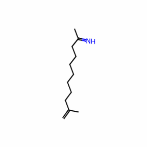 C=C(C)CCCCCCCC(C)=N